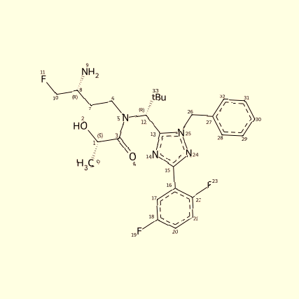 C[C@H](O)C(=O)N(CC[C@@H](N)CF)[C@@H](c1nc(-c2cc(F)ccc2F)nn1Cc1ccccc1)C(C)(C)C